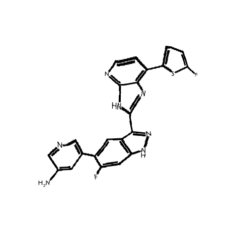 Nc1cncc(-c2cc3c(-c4nc5c(-c6ccc(F)s6)ccnc5[nH]4)n[nH]c3cc2F)c1